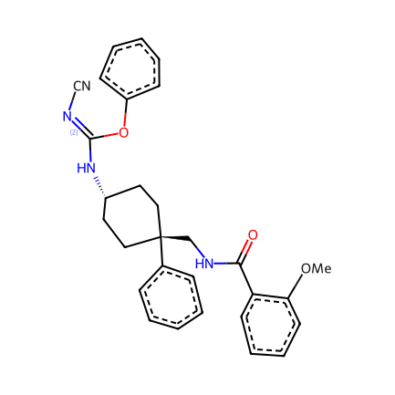 COc1ccccc1C(=O)NC[C@]1(c2ccccc2)CC[C@@H](N/C(=N/C#N)Oc2ccccc2)CC1